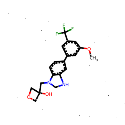 COc1cc(-c2ccc3c(c2)NCN3CC2(O)COC2)cc(C(F)(F)F)c1